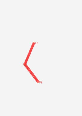 O=S(=O)(OOOOOOOOOOOOOOOOOOOOOOOOOOOOOOOOOOOOOOOOOO)OOOOOOOOOOOOOOOOOOOOOOOOOOOOOOOOOOOOOOOOOO